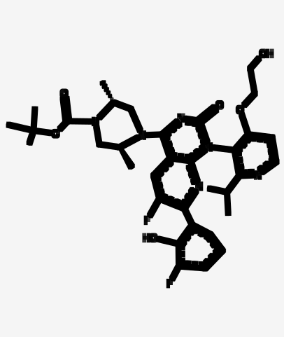 CC(C)c1nccc(OCCO)c1-n1c(=O)nc(N2C[C@@H](C)N(C(=O)OC(C)(C)C)C[C@@H]2C)c2cc(F)c(-c3cccc(F)c3O)nc21